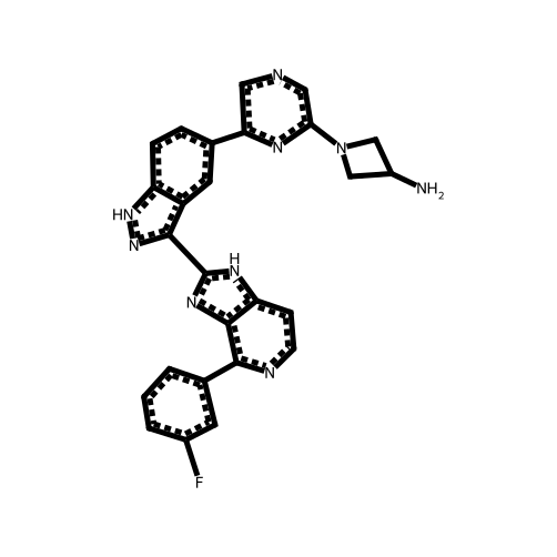 NC1CN(c2cncc(-c3ccc4[nH]nc(-c5nc6c(-c7cccc(F)c7)nccc6[nH]5)c4c3)n2)C1